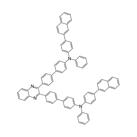 c1ccc(N(c2ccc(-c3ccc(-c4nc5ccccc5nc4-c4ccc(-c5ccc(N(c6ccccc6)c6ccc(-c7ccc8ccccc8c7)cc6)cc5)cc4)cc3)cc2)c2ccc(-c3ccc4ccccc4c3)cc2)cc1